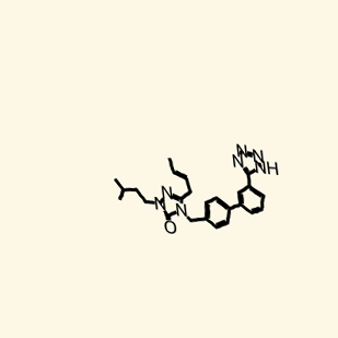 C/C=C/Cc1nn(CCC(C)C)c(=O)n1Cc1ccc(-c2cccc(-c3nnn[nH]3)c2)cc1